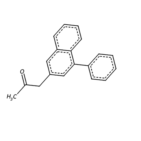 CC(=O)Cc1cc(-c2ccccc2)c2ccccc2c1